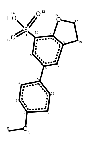 COc1ccc(-c2cc3c(c(S(=O)(=O)O)c2)OCC3)cc1